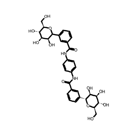 O=C(Nc1ccc(NC(=O)c2cccc([C@H]3O[C@H](CO)[C@@H](O)[C@H](O)[C@@H]3O)c2)cc1)c1cccc(C2O[C@H](CO)[C@@H](O)[C@H](O)[C@@H]2O)c1